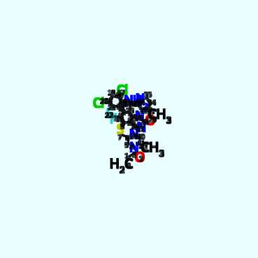 C=CC(=O)N1CC2CSc3c(F)c(-c4c(N)c(Cl)cc(Cl)c4F)cc4c3c(nc(=O)n4-c3c(C)ccnc3C(C)C)N2CC1C